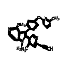 C#Cc1cc(C)c(-c2c(-c3ccc(Oc4cccc(C)n4)cc3)c3c(N)nccc3n2C)cn1